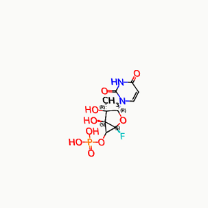 C[C@]1(O)[C@H](n2ccc(=O)[nH]c2=O)O[C@]2(F)C(OP(=O)(O)O)[C@]12O